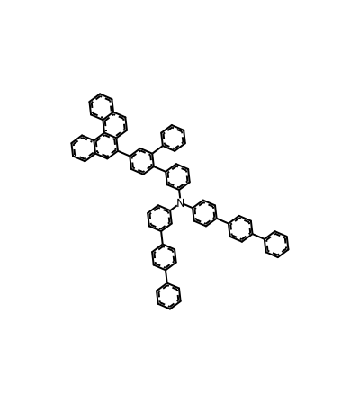 c1ccc(-c2ccc(-c3ccc(N(c4cccc(-c5ccc(-c6ccccc6)cc5)c4)c4cccc(-c5ccc(-c6cc7ccccc7c7c6ccc6ccccc67)cc5-c5ccccc5)c4)cc3)cc2)cc1